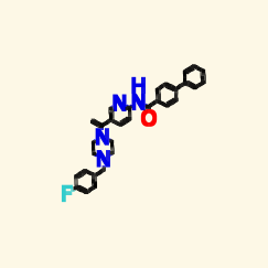 C=C(c1ccc(NC(=O)c2ccc(-c3ccccc3)cc2)nc1)N1CCN(Cc2ccc(F)cc2)CC1